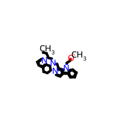 CCCCCN(Cc1nccc2c3ccccc3n(CCOC)c12)C1CCCc2cccnc21